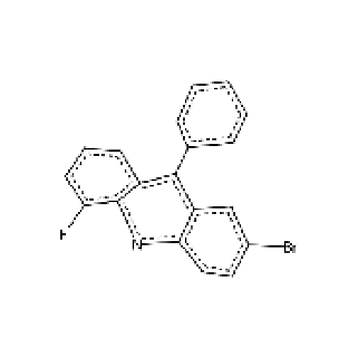 Fc1cccc2c(-c3ccccc3)c3cc(Br)ccc3nc12